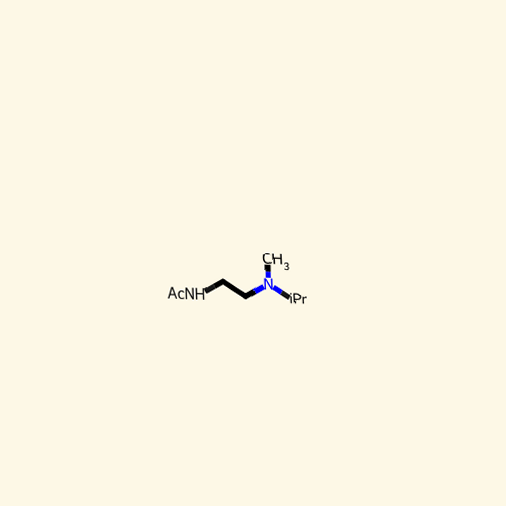 CC(=O)NCCN(C)C(C)C